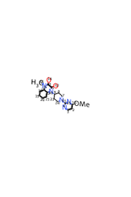 COc1ccnc(N2CCC(n3c(=O)c(=O)n(C)c4ccccc43)CC2)n1